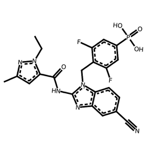 CCn1nc(C)cc1C(=O)Nc1nc2cc(C#N)ccc2n1Cc1c(F)cc(P(=O)(O)O)cc1F